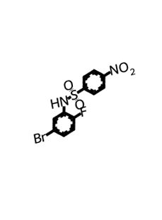 O=[N+]([O-])c1ccc(S(=O)(=O)Nc2cc(Br)ccc2F)cc1